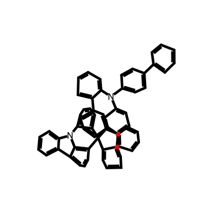 c1ccc(-c2ccc(N(c3ccc4c(c3)C3(c5ccccc5-4)c4ccccc4-n4c5ccccc5c5cccc3c54)c3ccccc3-c3cccc(-c4ccccc4)c3)cc2)cc1